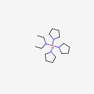 CCN(CC)[PH](N1CCCC1)(N1CCCC1)N1CCCC1